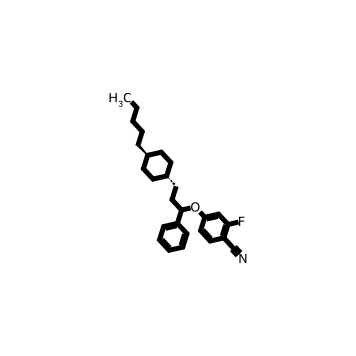 CCCCC[C@H]1CC[C@H](CCC(Oc2ccc(C#N)c(F)c2)c2ccccc2)CC1